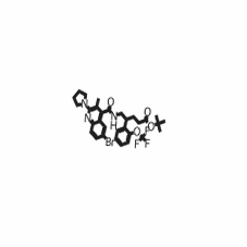 Cc1c(N2CCCC2)nc2ccc(Br)cc2c1C(=O)NCC(CCC(=O)OC(C)(C)C)c1ccccc1OC(F)(F)F